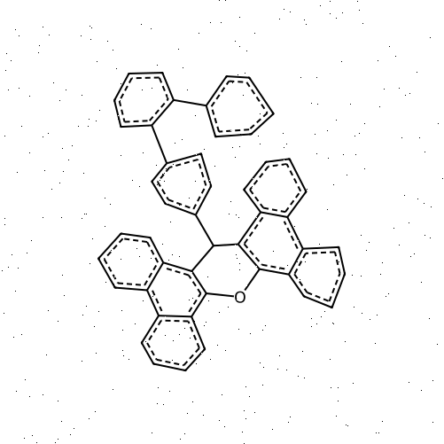 c1ccc(-c2ccccc2-c2ccc(C3c4c(c5ccccc5c5ccccc45)Oc4c3c3ccccc3c3ccccc43)cc2)cc1